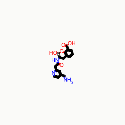 NCc1ccnc(CC(=O)NC2Cc3cccc(C(=O)O)c3OB2O)c1